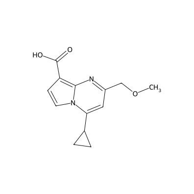 COCc1cc(C2CC2)n2ccc(C(=O)O)c2n1